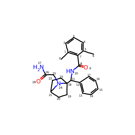 Cc1cccc(C)c1C(=O)NC(c1ccccc1)C12CCC(CC1)N2CC(N)=O